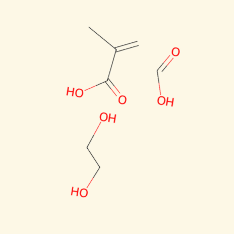 C=C(C)C(=O)O.O=CO.OCCO